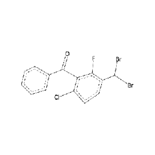 O=C(c1ccccc1)c1c(Cl)ccc(C(Br)Br)c1F